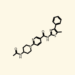 CC(=O)NC1CCN(c2ccc(C(=O)Nc3nc(-c4ccccc4)c(C)s3)cn2)CC1